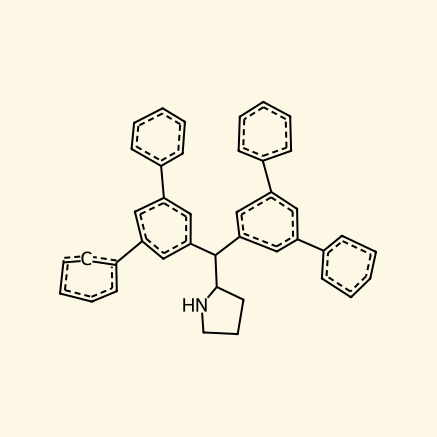 c1ccc(-c2cc(-c3ccccc3)cc(C(c3cc(-c4ccccc4)cc(-c4ccccc4)c3)C3CCCN3)c2)cc1